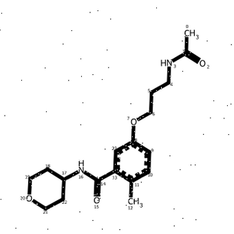 CC(=O)NCCCOc1ccc(C)c(C(=O)NC2CCOCC2)c1